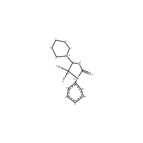 O=C1OC(N2CCCCC2)C(F)(F)N1c1ccccc1